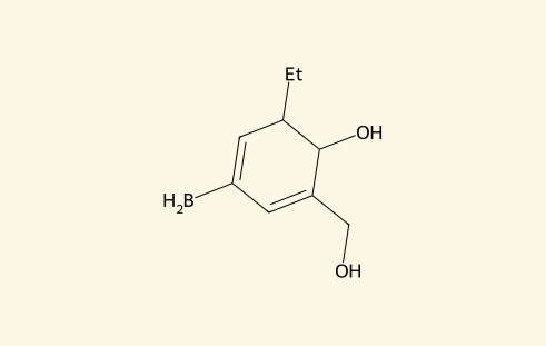 BC1=CC(CC)C(O)C(CO)=C1